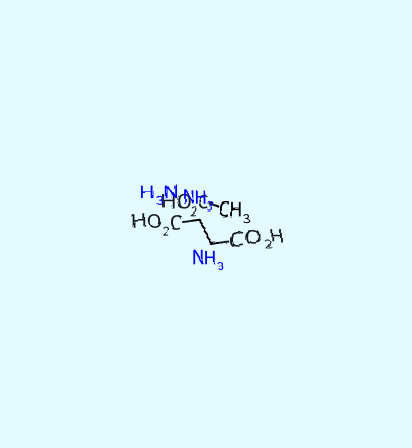 CC(=O)O.N.N.N.O=C(O)CCC(=O)O